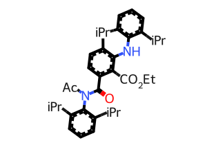 CCOC(=O)c1c(C(=O)N(C(C)=O)c2c(C(C)C)cccc2C(C)C)ccc(C)c1Nc1c(C(C)C)cccc1C(C)C